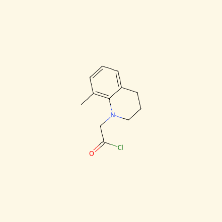 Cc1cccc2c1N(CC(=O)Cl)CCC2